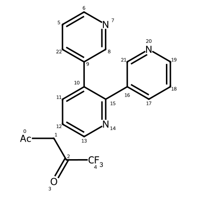 CC(=O)CC(=O)C(F)(F)F.c1cncc(-c2cccnc2-c2cccnc2)c1